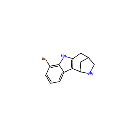 Brc1cccc2c3c([nH]c12)CC1CNC3C1